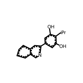 CC(C)c1c(O)cc(-c2cc3ccccc3cn2)cc1O